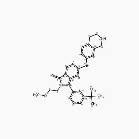 COCCn1c(=O)c2cnc(Nc3ccc4c(c3)CNCC4)nc2n1-c1cccc(C(C)(C)C)n1